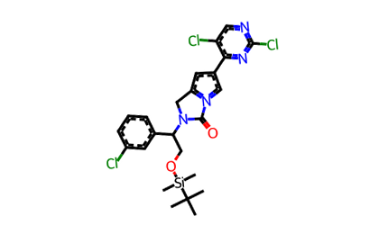 CC(C)(C)[Si](C)(C)OCC(c1cccc(Cl)c1)N1Cc2cc(-c3nc(Cl)ncc3Cl)cn2C1=O